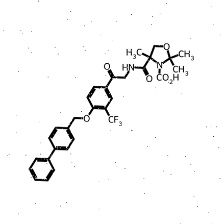 CC1(C)OCC(C)(C(=O)NCC(=O)c2ccc(OCc3ccc(-c4ccccc4)cc3)c(C(F)(F)F)c2)N1C(=O)O